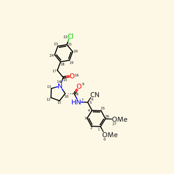 COc1ccc(C(C#N)NC(=O)[C@@H]2CCCN2C(=O)Cc2ccc(Cl)cc2)cc1OC